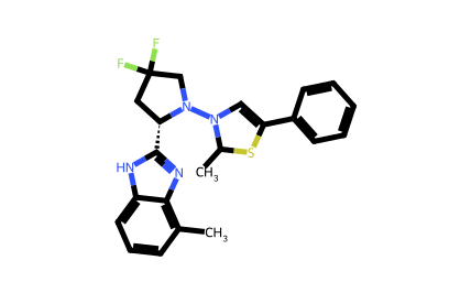 Cc1cccc2[nH]c([C@@H]3CC(F)(F)CN3N3[C]=C(c4ccccc4)SC3C)nc12